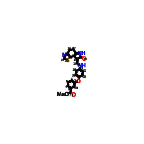 COC(=O)c1cccc(Oc2ccc(NC=C3C(=O)NC4=C3c3scnc3CC4)cc2)c1